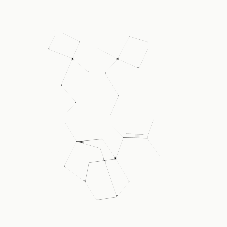 CCC1(CCOC(=C(C)C(=O)O)C23CC4CC(CC(OCCC5(CC)COC5)(C4)C2)C3)COC1